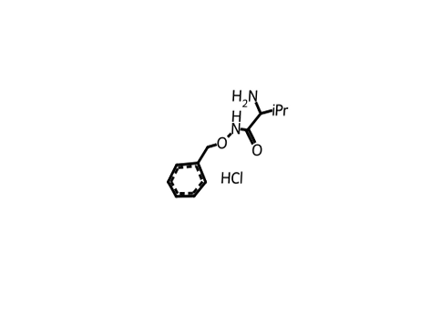 CC(C)C(N)C(=O)NOCc1ccccc1.Cl